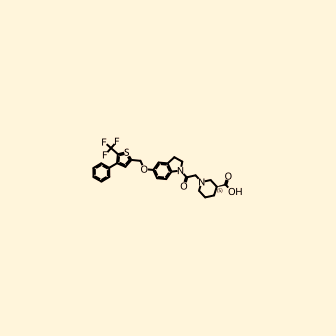 O=C(O)[C@H]1CCCN(CC(=O)N2CCc3cc(OCc4cc(-c5ccccc5)c(C(F)(F)F)s4)ccc32)C1